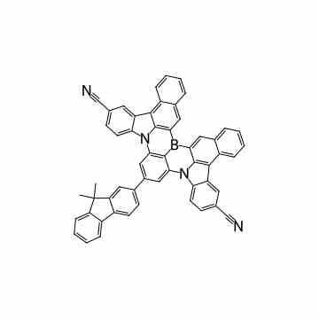 CC1(C)c2ccccc2-c2ccc(-c3cc4c5c(c3)-n3c6ccc(C#N)cc6c6c7ccccc7cc(c63)B5c3cc5ccccc5c5c6cc(C#N)ccc6n-4c35)cc21